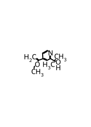 C=C(OCC)c1ccnc(C(C)(C)O)c1